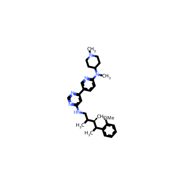 COc1ccccc1C(C)[C@H](C)C(C)CNc1cc(-c2ccc(N(C)C3CCN(C)CC3)nc2)ncn1